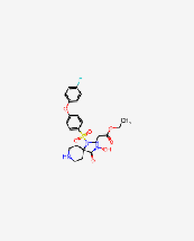 CCOC(=O)CCN(C1(C(=O)NO)CCNCC1)S(=O)(=O)c1ccc(Oc2ccc(F)cc2)cc1